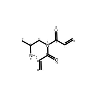 C=CC(=O)N(CC(C)N)C(=O)C=C